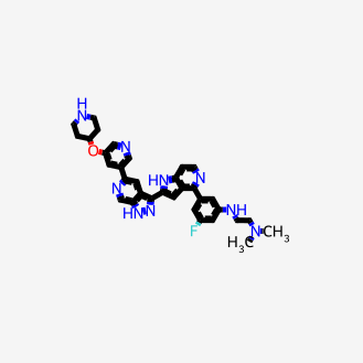 CN(C)CCNc1cc(F)cc(-c2nccc3[nH]c(-c4n[nH]c5cnc(-c6cncc(OC7CCNCC7)c6)cc45)cc23)c1